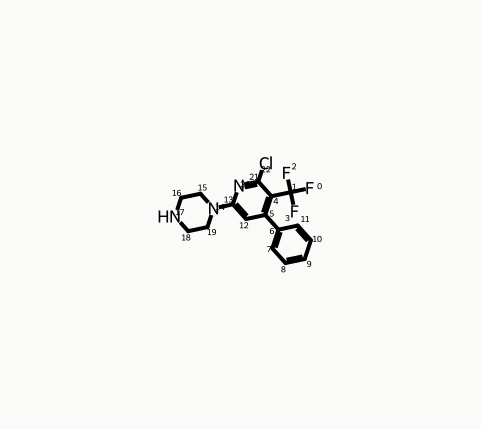 FC(F)(F)c1c(-c2ccccc2)cc(N2CCNCC2)nc1Cl